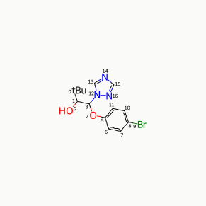 CC(C)(C)C(O)C(Oc1ccc(Br)cc1)n1cncn1